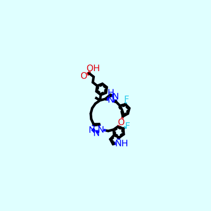 CC1(c2cccc(CCC(=O)O)c2)CCCCc2cn(nn2)Cc2c(c(F)cc3[nH]ccc23)Oc2ccc(F)c(c2)-c2ncc1[nH]2